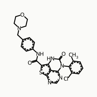 Cc1cccc(Cl)c1N1C(=O)Nc2c(C(=O)Nc3ccc(CN4CCOCC4)cc3)sc3ncnc1c23